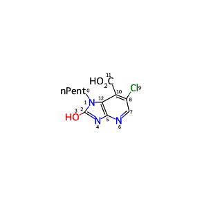 CCCCCn1c(O)nc2ncc(Cl)c(C(=O)O)c21